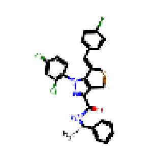 C[C@H](NC(=O)c1nn(-c2ccc(Cl)cc2Cl)c2c1CSC/C2=C\c1ccc(F)cc1)c1ccccc1